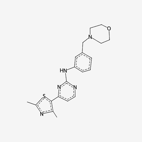 Cc1nc(C)c(-c2ccnc(Nc3cccc(CN4CCOCC4)c3)n2)s1